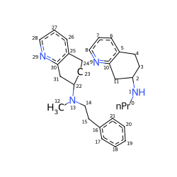 CCCNC1CCc2cccnc2C1.CN(CCc1ccccc1)C1CCc2cccnc2C1